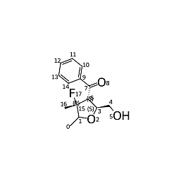 CC1O[C@H](CO)[C@@H](C(=O)c2ccccc2)[C@@]1(C)F